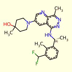 Cc1c(C(F)F)cccc1[C@@H](C)Nc1nnc(C)c2ncc(N3CCC(C)(O)CC3)cc12